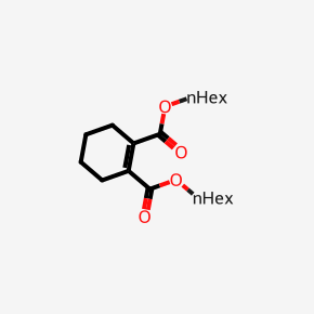 CCCCCCOC(=O)C1=C(C(=O)OCCCCCC)CCCC1